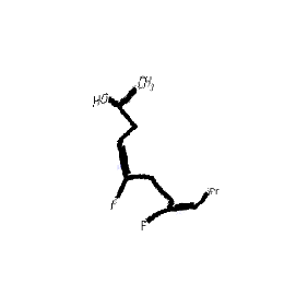 CC(C)/C=C(/F)C/C(F)=C\CC(C)O